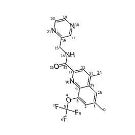 Cc1cc(OC(F)(F)F)c2nc(C(=O)NCc3cnccn3)cc(C)c2c1